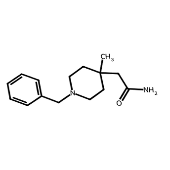 CC1(CC(N)=O)CCN(Cc2ccccc2)CC1